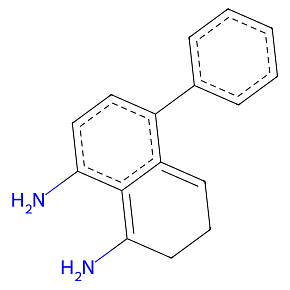 NC1=c2c(N)ccc(-c3ccccc3)c2=CCC1